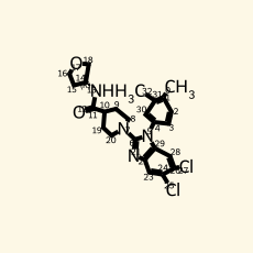 Cc1ccc(-n2c(N3CCC(C(=O)N[C@@H]4CCOC4)CC3)nc3cc(Cl)c(Cl)cc32)cc1C